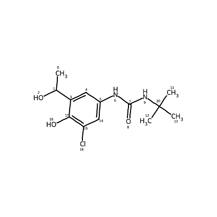 CC(O)c1cc(NC(=O)NC(C)(C)C)cc(Cl)c1O